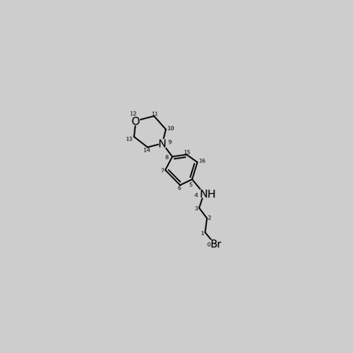 BrCCCNc1ccc(N2CCOCC2)cc1